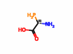 N[C@@H](P)C(=O)O